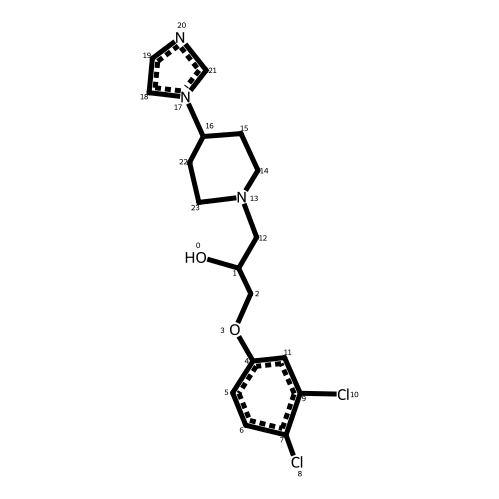 OC(COc1ccc(Cl)c(Cl)c1)CN1CCC(n2ccnc2)CC1